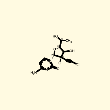 C[C@H](O)[C@H]1O[C@@H](n2ccc(N)nc2=O)[C@@](Cl)(C#CCl)C1O